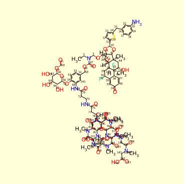 CCN(COCC(=O)[C@@]12O[C@H](c3ccc(Cc4cccc(N)c4)s3)O[C@@H]1C[C@H]1[C@@H]3C[C@H](F)C4=CC(=O)C=C[C@]4(C)[C@@]3(F)[C@@H](O)C[C@@]12C)C(=O)OCc1ccc(O[C@@H]2O[C@H](OC=O)[C@@H](O)[C@H](O)[C@H]2O)c(NC(=O)CCNC(=O)CCc2ccc(N3C(=O)C=CC3=O)cc2C(=O)N(C)CC(=O)N(C)CC(=O)N(C)CC(=O)N(C)CC(=O)N(C)CC(=O)N(C)CC(=O)N(C)CC(=O)N(C)CC(=O)N(C)CC(=O)N(C)CC(=O)O)c1